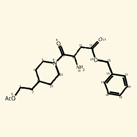 CC(=O)OCCC1CCN(C(=O)C(N)CC(=O)OCc2ccccc2)CC1